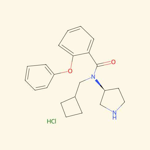 Cl.O=C(c1ccccc1Oc1ccccc1)N(CC1CCC1)[C@H]1CCNC1